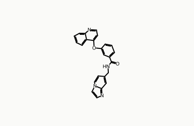 O=C(NCc1ccn2ccnc2c1)c1cccc(Oc2ccnc3ccccc23)c1